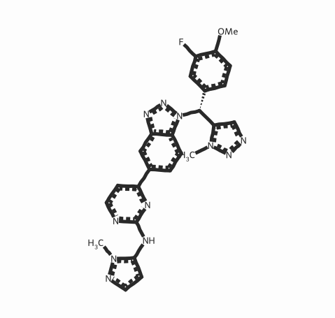 COc1ccc([C@H](c2cnnn2C)n2nnc3cc(-c4ccnc(Nc5ccnn5C)n4)ccc32)cc1F